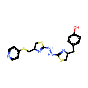 Oc1ccc(CC2CSC(NNC3=NC(CSc4ccncc4)CS3)=N2)cc1